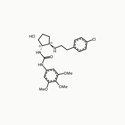 COc1cc(NC(=O)N[C@@H]2CCC[C@H]2NCCc2ccc(Cl)cc2)cc(OC)c1OC.Cl